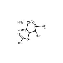 O=C(O)OC(C(=O)O)C(O)C(=O)O.[NaH]